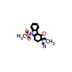 C=C[C@@]1(C#N)CCc2c(c3ccccc3n2S(C)(=O)=O)C1=O